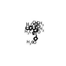 COC(=O)[C@@H](OC(C)(C)C)c1c(-c2ccc3c(c2C)CCCO3)c2ccn(Cc3ccc(OC)cc3)c2c(=O)n1C